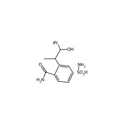 CC(C)C(O)C(C)c1ccccc1C(N)=O.NS(=O)(=O)O